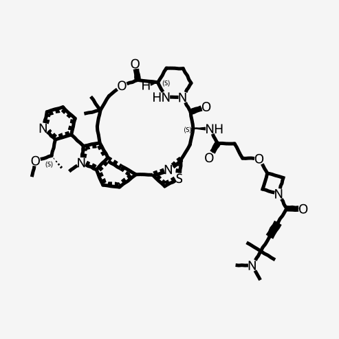 CO[C@@H](C)c1ncccc1-c1c2c3cc(ccc3n1C)-c1csc(n1)C[C@H](NC(=O)CCOC1CN(C(=O)C#CC(C)(C)N(C)C)C1)C(=O)N1CCC[C@H](N1)C(=O)OCC(C)(C)C2